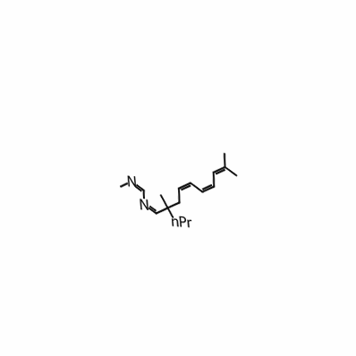 CCCC(C)(/C=N\C=N/C)C/C=C\C=C/C=C(C)C